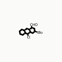 CC(C)(C)c1cc(C=O)c2cc3ccccc3c(Cl)c2c1